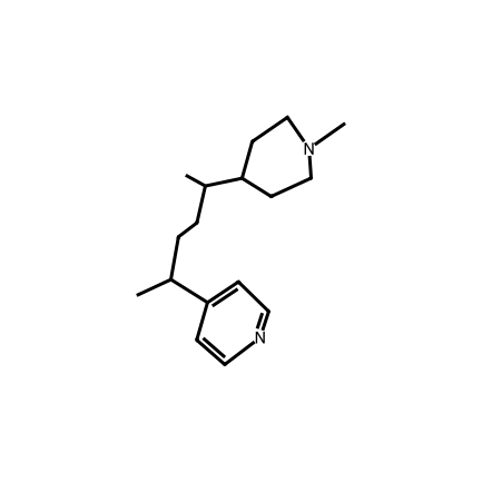 CC(CCC(C)C1CCN(C)CC1)c1ccncc1